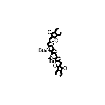 C/C=C1/C(=O)C(=Cc2cc3c(s2)c2sc4c5sc(C=C6C(=O)C(=C/C)/C(=C\C)C6=O)cc5n(CC(C)CC)c4c2n3CC(C)CC)C(=O)/C1=C/C